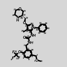 COCc1ccc(OC(F)(F)F)c(CNC(=O)Nc2c(C)c(OC[C@H]3COCCN3)nn2-c2ccccc2)c1